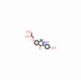 CC1(C)c2cc(OCC(O)CO)ccc2C(=O)c2c1[nH]c1cc(O)ccc21